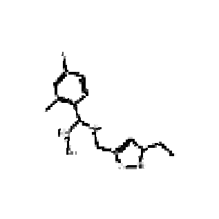 CCC1C=C(CNC(NN)c2ccc(F)cc2C)ON1